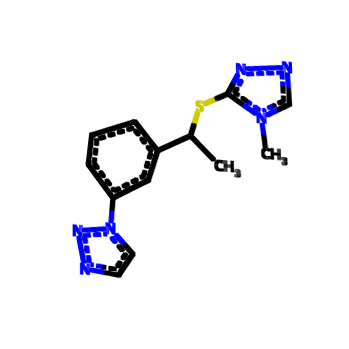 CC(Sc1nncn1C)c1cccc(-n2ccnn2)c1